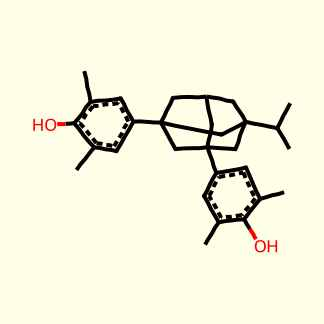 Cc1cc(C23CC4CC(c5cc(C)c(O)c(C)c5)(C2)CC(C(C)C)(C4)C3)cc(C)c1O